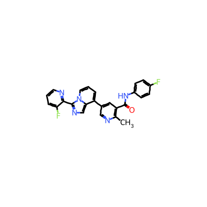 Cc1ncc(-c2cccn3c(-c4ncccc4F)ncc23)cc1C(=O)Nc1ccc(F)cc1